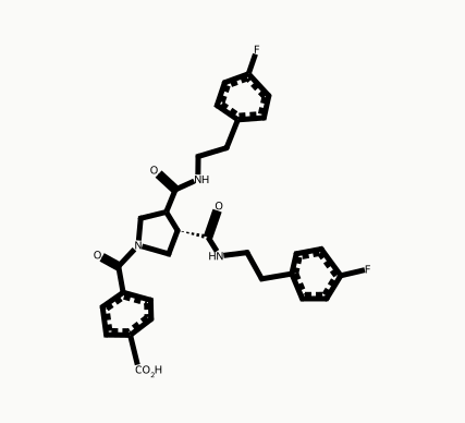 O=C(O)c1ccc(C(=O)N2CC(C(=O)NCCc3ccc(F)cc3)[C@H](C(=O)NCCc3ccc(F)cc3)C2)cc1